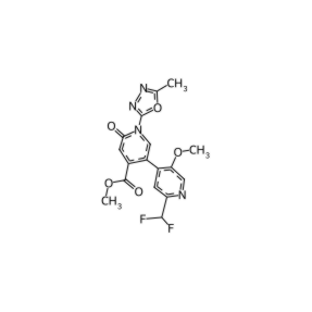 COC(=O)c1cc(=O)n(-c2nnc(C)o2)cc1-c1cc(C(F)F)ncc1OC